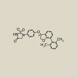 Cc1cccc(C)c1-c1cccc2c1OC[C@H]2Oc1ccc(N2CC(=O)NS2(=O)=O)cc1